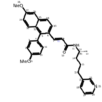 COc1ccc(-c2c(/C=C/C(=O)N[C@H](C)CCCc3cccnc3)ccc3cc(OC)ccc23)cc1